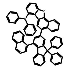 c1ccc(N(c2ccccc2)c2cccc3oc4c5ccccc5c(-c5cc(-c6cccc7ccccc67)c6c(c5)C(c5ccccc5)(c5ccccc5)c5ccccc5-6)cc4c23)cc1